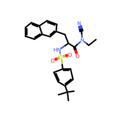 CCN(C#N)C(=O)C(Cc1ccc2ccccc2c1)NS(=O)(=O)c1ccc(C(C)(C)C)cc1